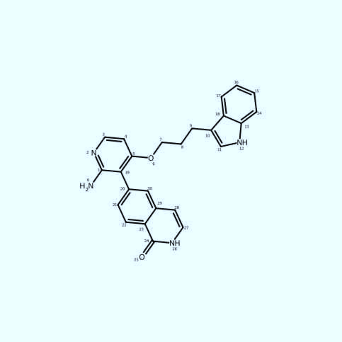 Nc1nccc(OCCCc2c[nH]c3ccccc23)c1-c1ccc2c(=O)[nH]ccc2c1